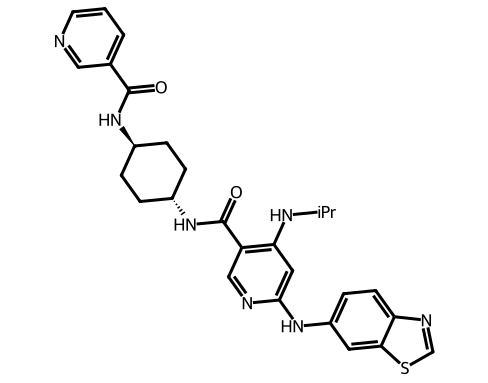 CC(C)Nc1cc(Nc2ccc3ncsc3c2)ncc1C(=O)N[C@H]1CC[C@H](NC(=O)c2cccnc2)CC1